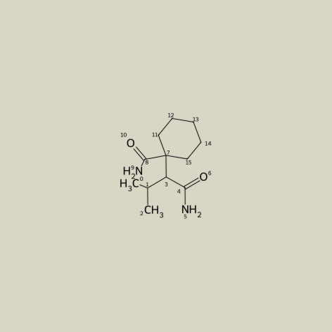 CC(C)C(C(N)=O)C1(C(N)=O)CCCCC1